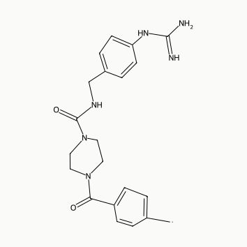 [CH2]c1ccc(C(=O)N2CCN(C(=O)NCc3ccc(NC(=N)N)cc3)CC2)cc1